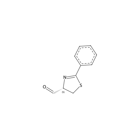 O=C[C@H]1CSC(c2ccccc2)=N1